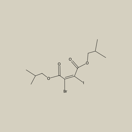 CC(C)COC(=O)/C(Br)=C(/I)C(=O)OCC(C)C